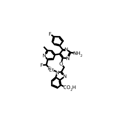 CCn1c(COc2nc(N)nc(-c3ccc(F)cc3)c2-c2cc(C)nc(C(F)F)c2)nc2c(C(=O)O)cccc21